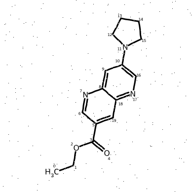 CCOC(=O)c1cnc2cc(N3CCCC3)cnc2c1